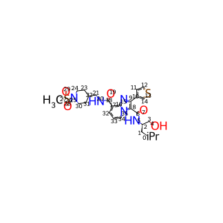 CC(C)C[C@H](CO)NC(=O)c1c(-c2ccsc2)nc2c(C(=O)NCC3CCN(S(C)(=O)=O)CC3)cccn12